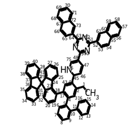 CCc1cc(-c2ccccc2-c2ccccc2)c(-c2cccc3c2-c2ccccc2C32c3ccccc3-c3ccccc32)cc1C1C=CC(c2nc(-c3ccc4ccccc4c3)nc(-c3ccc4ccccc4c3)n2)=CN1